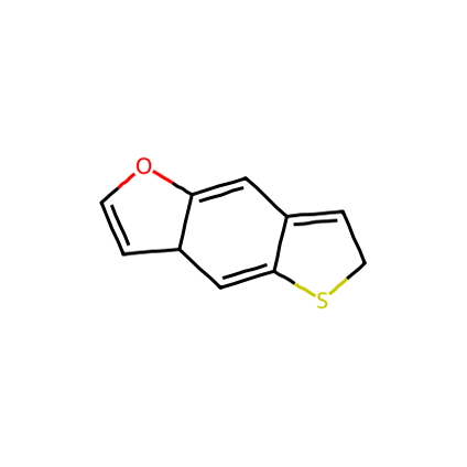 C1=CC2C=C3SCC=C3C=C2O1